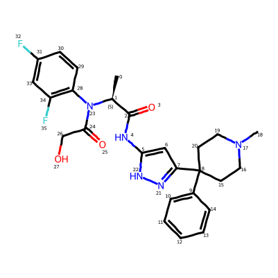 C[C@@H](C(=O)Nc1cc(C2(c3ccccc3)CCN(C)CC2)n[nH]1)N(C(=O)CO)c1ccc(F)cc1F